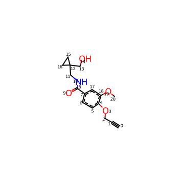 C#CCOc1ccc(C(=O)NCC2(CO)CC2)cc1OC